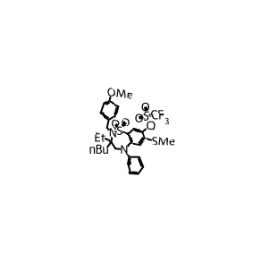 CCCCC1(CC)CN(c2ccccc2)c2cc(SC)c(OS(=O)(=O)C(F)(F)F)cc2S(=O)(=O)N1Cc1ccc(OC)cc1